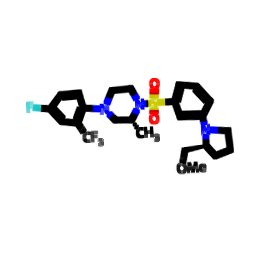 COC[C@@H]1CCCN1c1cccc(S(=O)(=O)N2CCN(c3ccc(F)cc3C(F)(F)F)C[C@H]2C)c1